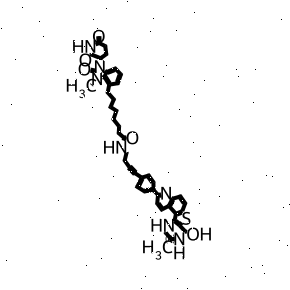 C[C@@H]1CNc2c(sc3ccc4nc(-c5ccc(C#CCCNC(=O)CCCCCCCc6cccc7c6n(C)c(=O)n7C6CCC(=O)NC6=O)cc5)ccc4c23)C(O)N1